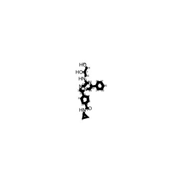 O=C(NC1CC1)c1ccc(-c2cnc3c(NC[C@H](O)CO)nc(-c4ccccc4)cn23)cc1